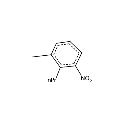 [CH2]CCc1c(C)cccc1[N+](=O)[O-]